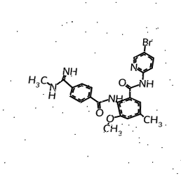 CNC(=N)c1ccc(C(=O)Nc2c(OC)cc(C)cc2C(=O)Nc2ccc(Br)cn2)cc1